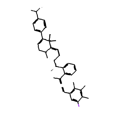 CCCC(CC)c1ccc(C2=CC[C@]3(C)C[C@@H]([C@H](C)c4ccccc4C(C)=C=Cc4cc(I)c(C)c(C)c4C)CC=C3C2(C)C)cc1